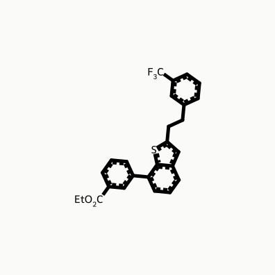 CCOC(=O)c1cccc(-c2cccc3cc(CCc4cccc(C(F)(F)F)c4)sc23)c1